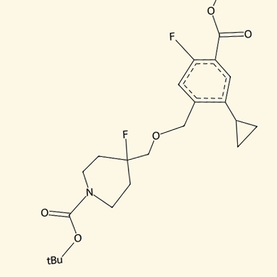 CC(C)(C)OC(=O)c1cc(C2CC2)c(COCC2(F)CCN(C(=O)OC(C)(C)C)CC2)cc1F